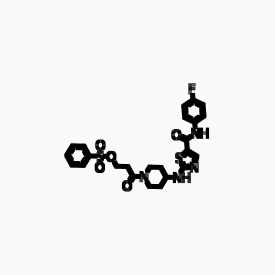 O=C(Nc1ccc(F)cc1)c1cnc(NC2CCN(C(=O)CCOS(=O)(=O)c3ccccc3)CC2)s1